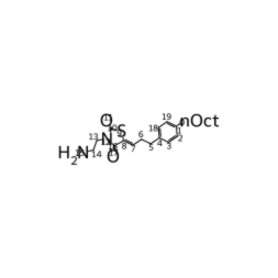 CCCCCCCCc1ccc(CC/C=C2\SC(=O)N(CCN)C2=O)cc1